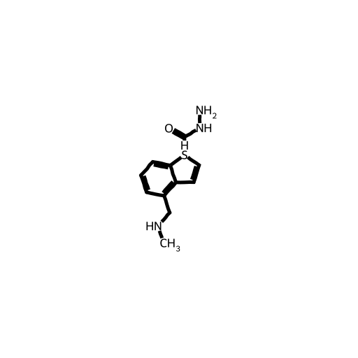 CNCc1cccc2c1C=C[SH]2C(=O)NN